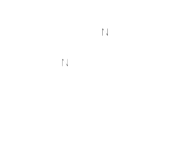 CCN(CC)c1ncc(C)cc1C